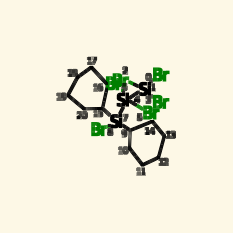 Br[Si](Br)(Br)[Si](Br)(Br)[Si](Br)(C1CCCCC1)C1CCCCC1